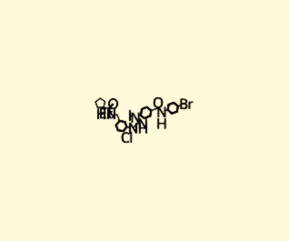 CCC1(C(=O)NCc2ccc(Cl)c(Nc3nc4cc(C(=O)Nc5ccc(Br)cc5)ccc4n3I)c2)CCCC1